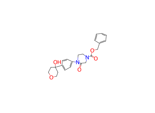 O=C(OCc1ccccc1)N1CCN(c2ccc(C3(O)CCOCC3)cc2)C(=O)C1